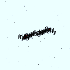 CCC(Cc1ccccc1)(C(=O)c1ccc(N2CCN(CCC(=O)OCCOC(=O)CCN3CCN(c4ccc(C(=O)C(CC)(Cc5ccccc5)N(C)C)cc4)CC3)CC2)cc1)N(C)C